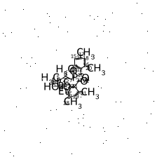 CCP(=O)(O)C(C)CCP(=O)(C(=O)c1c(C)cc(C)cc1C)C(=O)c1c(C)cc(C)cc1C